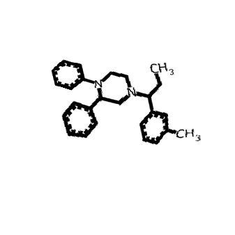 CCC(c1cccc(C)c1)N1CCN(c2ccccc2)C(c2ccccc2)C1